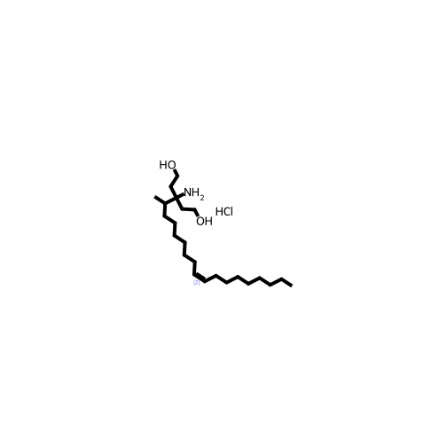 CCCCCCCC/C=C\CCCCCCC(C)C(N)(CCO)CCO.Cl